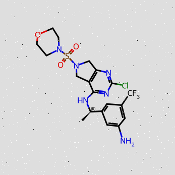 C[C@@H](Nc1nc(Cl)nc2c1CN(S(=O)(=O)N1CCOCC1)C2)c1cc(N)cc(C(F)(F)F)c1